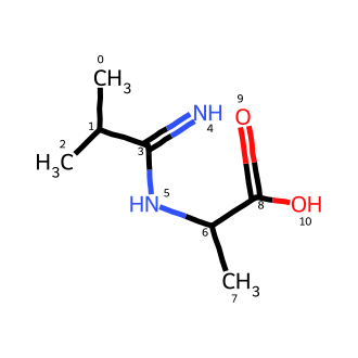 CC(C)C(=N)NC(C)C(=O)O